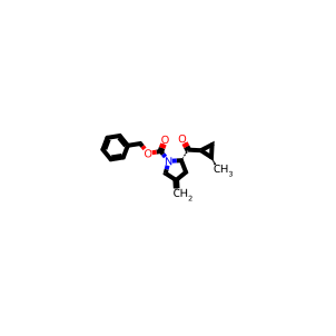 C=C1C[C@@H](C(=O)C2C[C@@H]2C)N(C(=O)OCc2ccccc2)C1